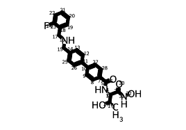 C[C@@H](O)[C@H](NC(=O)c1ccc(-c2ccc(CNCc3ccccc3F)cc2)cc1)C(=O)NO